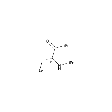 CC(=O)C[C@@H](NC(C)C)C(=O)C(C)C